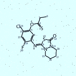 CCC(=S)Oc1cc(N=c2sc(=O)n3n2CCCC3)c(F)cc1Cl